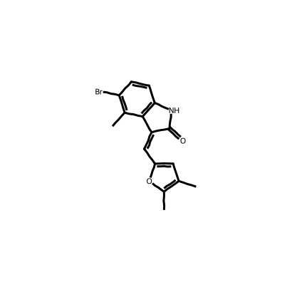 Cc1cc(C=C2C(=O)Nc3ccc(Br)c(C)c32)oc1C